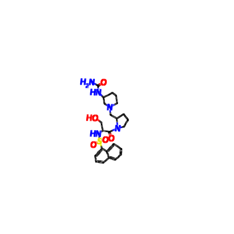 NC(=O)NC1CCCN(CC2CCCN2C(=O)C(CO)NS(=O)(=O)c2cccc3ccccc23)C1